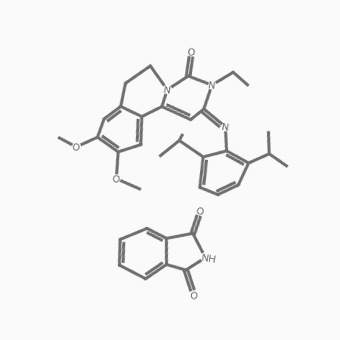 CCn1c(=Nc2c(C(C)C)cccc2C(C)C)cc2n(c1=O)CCc1cc(OC)c(OC)cc1-2.O=C1NC(=O)c2ccccc21